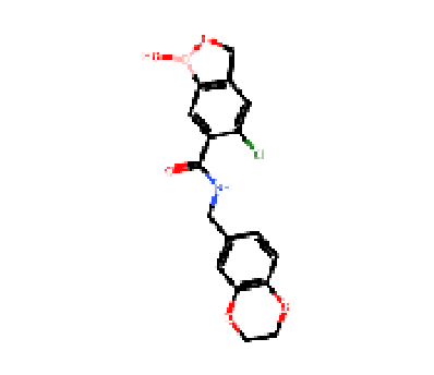 O=C(NCc1ccc2c(c1)OCCO2)c1cc2c(cc1Cl)COB2O